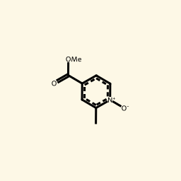 COC(=O)c1cc[n+]([O-])c(C)c1